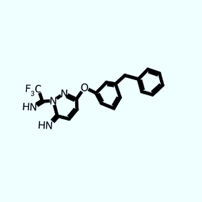 N=C(n1nc(Oc2cccc(Cc3ccccc3)c2)ccc1=N)C(F)(F)F